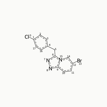 Clc1ccc(Cc2nnc3ccc(Br)cn23)cc1